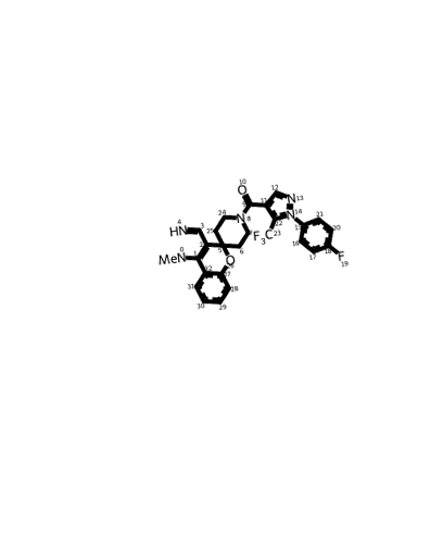 CNC1=C(C=N)C2(CCN(C(=O)c3cnn(-c4ccc(F)cc4)c3C(F)(F)F)CC2)Oc2ccccc21